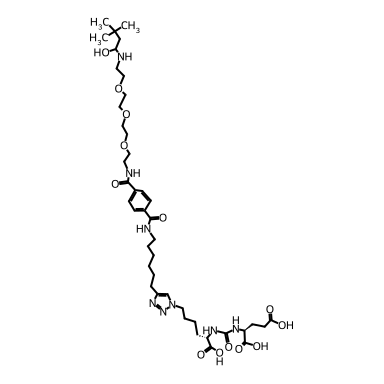 CC(C)(C)CC(O)NCCOCCOCCOCCNC(=O)c1ccc(C(=O)NCCCCCCc2cn(CCCC[C@H](NC(=O)N[C@@H](CCC(=O)O)C(=O)O)C(=O)O)nn2)cc1